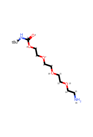 CC(C)(C)NC(=O)OCCOCCOCCOCCN